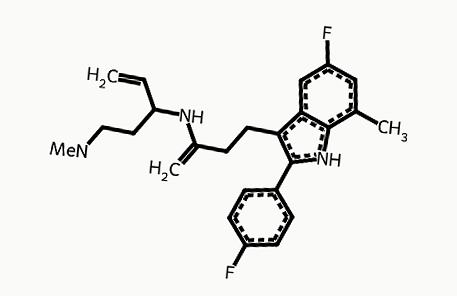 C=CC(CCNC)NC(=C)CCc1c(-c2ccc(F)cc2)[nH]c2c(C)cc(F)cc12